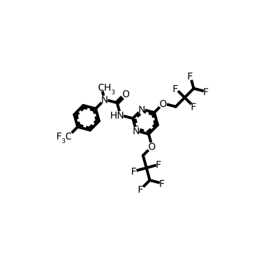 CN(C(=O)Nc1nc(OCC(F)(F)C(F)F)cc(OCC(F)(F)C(F)F)n1)c1ccc(C(F)(F)F)cc1